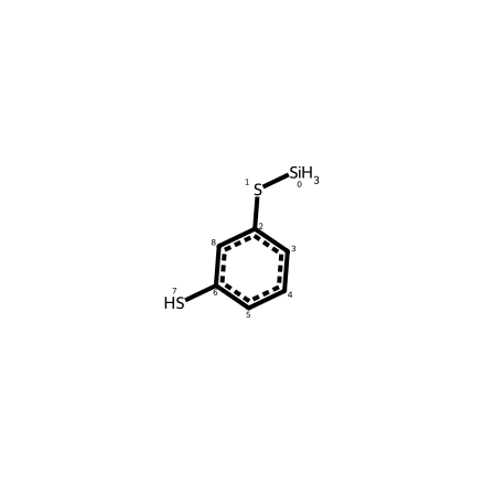 [SiH3]Sc1cccc(S)c1